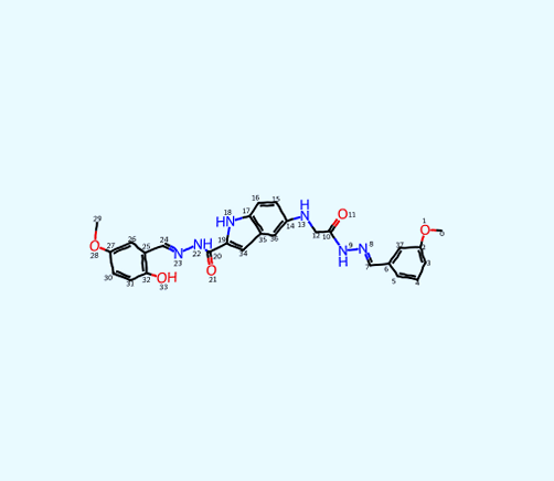 COc1cccc(C=NNC(=O)CNc2ccc3[nH]c(C(=O)NN=Cc4cc(OC)ccc4O)cc3c2)c1